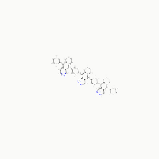 c1ccc(-c2c3ccccc3c(-c3ccc(-c4c5ccccc5c(-c5ccc(-c6c7ccccc7c(-c7ccccc7)c7ccncc67)cc5)c5cnccc45)cc3)c3cnccc23)cc1